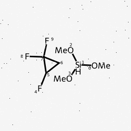 CO[SiH](OC)OC.FC1CC1(F)F